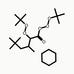 C1CCCCC1.CC(CC(C)(C)C)C(OOC(C)(C)C)C(=O)OOOC(C)(C)C